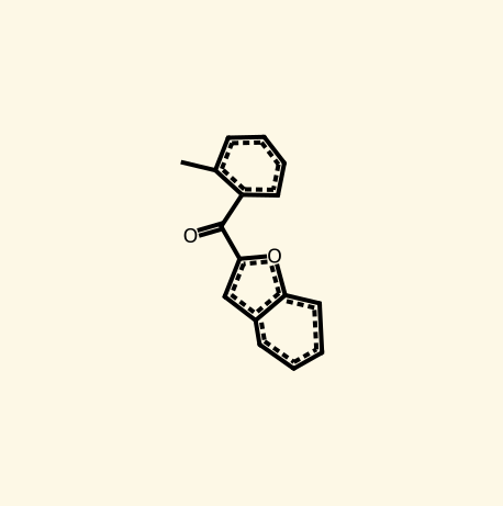 Cc1ccccc1C(=O)c1cc2ccccc2o1